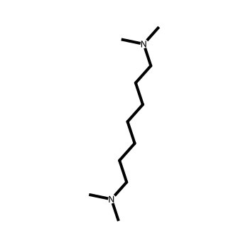 CN(C)CCCCCCCN(C)C